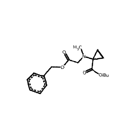 CC(C)COC(=O)C1(N(C)CC(=O)OCc2ccccc2)CC1